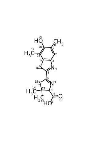 Cc1cc2nc(C3=NC(C(=O)O)C(C)(C)S3)sc2c(C)c1O